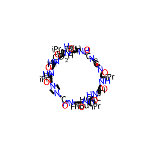 CC[C@H](C)[C@@H]1NC(=O)CN2CCN(CC2)C(=O)[C@H](C(C)C)NC(=O)[C@H](CC(=O)O)NC(=O)[C@H](CC(C)C)NC(=O)[C@H]([C@@H](C)CC)NC(=O)CN2CCN(CC2)C(=O)C(C(C)C)NC(=O)[C@H](CC(=O)O)NC(=O)[C@H](CC(C)C)NC1=O